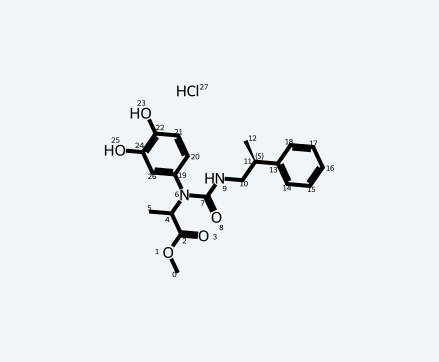 COC(=O)C(C)N(C(=O)NC[C@@H](C)c1ccccc1)c1ccc(O)c(O)c1.Cl